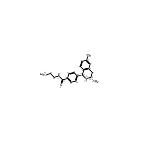 CCCC[C@H]1Cc2cc(O)ccc2[C@H](c2ccc(C(=O)NCCOC)cc2)N1